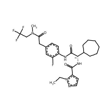 CCn1nccc1C(=O)N[C@H](C(=O)Nc1ccc(CC(=O)N(C)CC(F)(F)F)cc1F)C1CCCCCC1